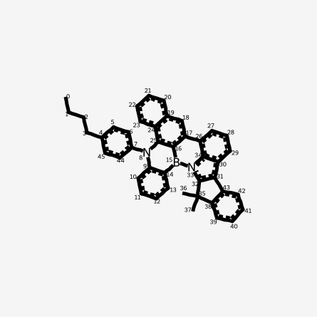 CCCCc1ccc(N2c3ccccc3B3c4c(cc5ccccc5c42)-c2cccc4c5c(n3c24)C(C)(C)c2ccccc2-5)cc1